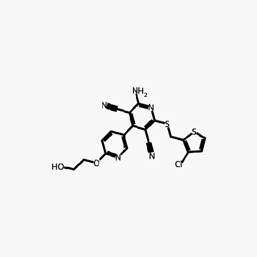 N#Cc1c(N)nc(SCc2sccc2Cl)c(C#N)c1-c1ccc(OCCO)nc1